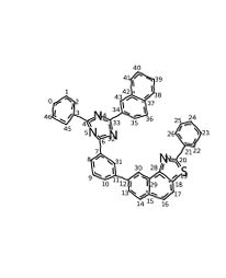 c1ccc(-c2nc(-c3cccc(-c4ccc5ccc6sc(-c7ccccc7)nc6c5c4)c3)nc(-c3ccc4ccccc4c3)n2)cc1